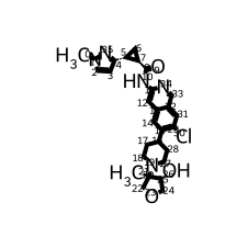 Cn1ccc([C@@H]2C[C@H]2C(=O)Nc2cc3cc(C4CCN([C@@]5(C)COC[C@H]5O)CC4)c(Cl)cc3cn2)n1